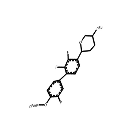 CCCCCOc1ccc(-c2ccc(C3CCC(CCCC)CO3)c(F)c2F)cc1F